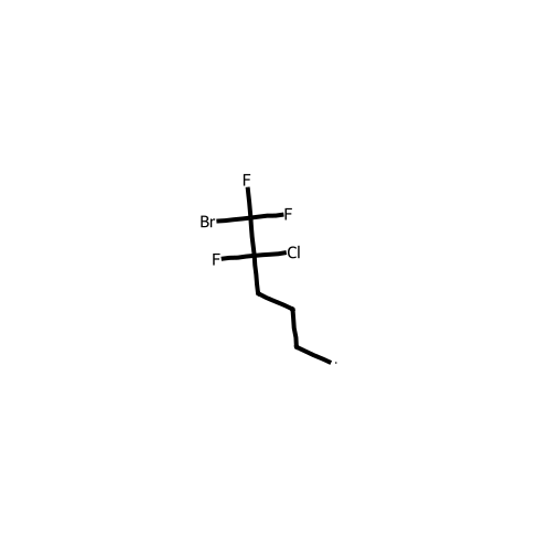 [CH2]CCCC(F)(Cl)C(F)(F)Br